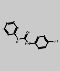 O=C(Nc1ccc(S)cc1)Oc1ccccc1